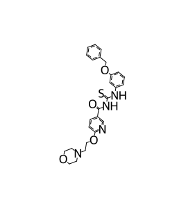 O=C(NC(=S)Nc1cccc(OCc2ccccc2)c1)c1ccc(OCCN2CCOCC2)nc1